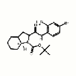 CC(C)(C)OC(=O)N1C(C(=O)Nc2ccc(Br)cc2N)CC2CCCC[C@@H]21